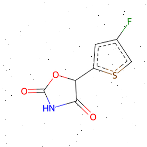 O=C1NC(=O)C(c2cc(F)cs2)O1